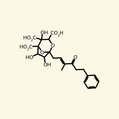 C/C(=C\CC12OC(C(=O)O)C(O)(C(=O)O)C(C(=O)O)(O1)C(O)C2O)C(=O)CCc1ccccc1